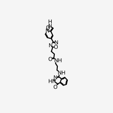 O=C(CCc1nc(C2=CC3=CNON3C=C2)no1)NCCCNc1n[nH]c(=O)c2ccccc12